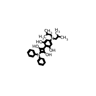 CC(C)CN(CC(C)C)c1cc(O)c(C2=C(O)C(N(c3ccccc3)c3ccccc3)=C2O)c(O)c1